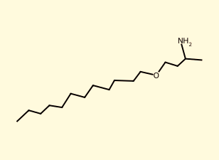 CCCCCCCCCCCCOCCC(C)N